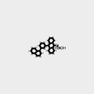 OBOc1c2ccccc2c(-c2cccc(-c3cccc4ccccc34)c2)c2ccccc12